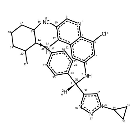 [2H][C@](Nc1cc(Cl)c2ncc(C#N)c(NC3C(C)CCCC3C)c2c1)(c1ccc(F)cc1)c1cn(C2CC2)nn1